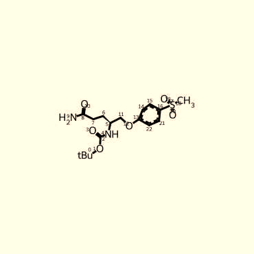 CC(C)(C)OC(=O)N[C@@H](CCC(N)=O)COc1ccc(S(C)(=O)=O)cc1